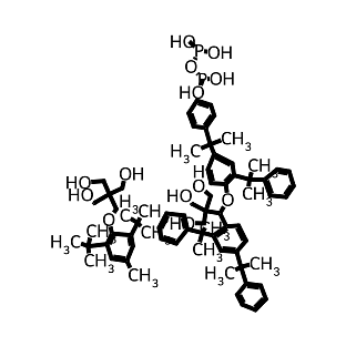 CC(C)(c1ccccc1)c1ccc(OC(c2ccc(C(C)(C)c3ccccc3)cc2C(C)(C)c2ccccc2)C(CO)(CO)CO)c(C(C)(C)c2ccccc2)c1.Cc1cc(C(C)(C)C)c(OCC(CO)(CO)CO)c(C(C)(C)C)c1.OP(O)OP(O)O